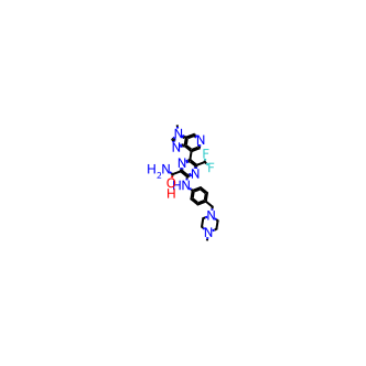 CN1CCN(Cc2ccc(Nc3nc(C(F)F)c(-c4cncc5c4ncn5C)nc3C(N)O)cc2)CC1